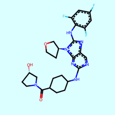 O=C(C1CCC(Nc2ncc3nc(Nc4c(F)cc(F)cc4F)n([C@H]4CCOC4)c3n2)CC1)N1CC[C@H](O)C1